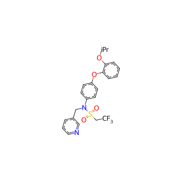 CC(C)Oc1ccccc1Oc1ccc(N(Cc2cccnc2)S(=O)(=O)CC(F)(F)F)cc1